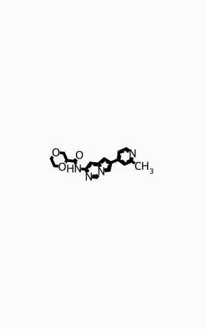 Cc1cc(-c2cc3cc(NC(=O)C4COCCO4)ncn3c2)ccn1